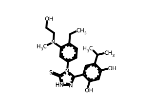 CCc1ccc(-n2c(-c3cc(C(C)C)c(O)cc3O)n[nH]c2=S)cc1N(C)CCO